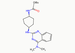 CC(C)COC(=O)N[C@H]1CC[C@@H](Nc2nc(N(C)C)c3ccccc3n2)CC1